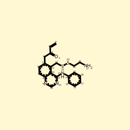 C=CC(=O)Cc1ccc2ncnc(Nc3ccccc3)c2c1CSSCCN